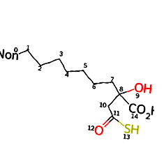 CCCCCCCCCCCCCCCCC(O)(CC(=O)S)C(=O)O